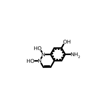 Nc1cc2c(cc1O)N(O)N(O)C=C2